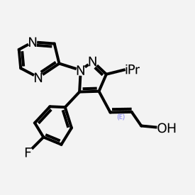 CC(C)c1nn(-c2cnccn2)c(-c2ccc(F)cc2)c1/C=C/CO